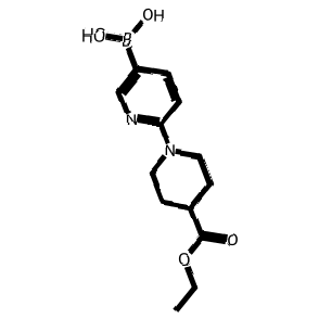 CCOC(=O)C1CCN(c2ccc(B(O)O)cn2)CC1